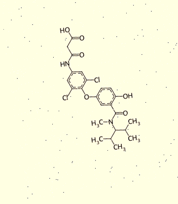 CC(C)C(C(C)C)N(C)C(=O)c1cc(Oc2c(Cl)cc(NC(=O)CC(=O)O)cc2Cl)ccc1O